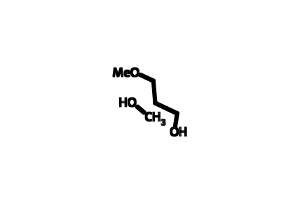 CO.COCCCO